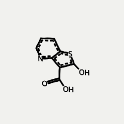 O=C(O)c1c(O)sc2cccnc12